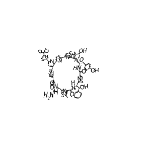 COC(=O)c1csc(-c2ccc3c(n2)-c2csc(n2)-c2csc(n2)[C@@H]2[C@@H](C)[C@@H](O)CN2C(=O)[C@H](Cc2ccc(O)cc2)NC(=O)c2csc(n2)[C@H]([C@H](O)c2ccccc2)NC(=O)c2nc(sc2C)[C@H](CC(N)=O)NC(=O)c2csc-3n2)n1